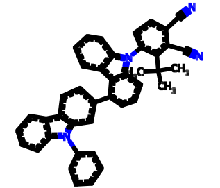 CC(C)(C)c1c(-n2c3ccccc3c3c(-c4ccc5c6ccccc6n(-c6ccccc6)c5c4)cccc32)ccc(C#N)c1C#N